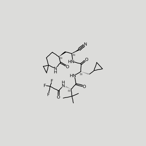 CC(C)(C)[C@H](NC(=O)C(F)(F)F)C(=O)N[C@@H](CC1CC1)C(=O)N[C@H](C#N)C[C@@H]1CCC2(CC2)NC1=O